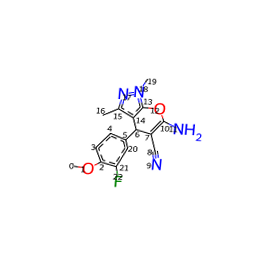 COc1ccc(C2C(C#N)=C(N)Oc3c2c(C)nn3C)cc1F